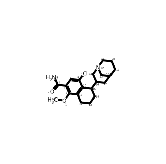 COc1c(C(N)=O)cc(Cl)c2c1CCCC2C1CC2CCCN(C2)C1